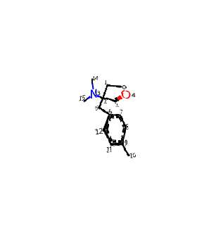 CCC(C=O)(Cc1ccc(C)cc1)N(C)C